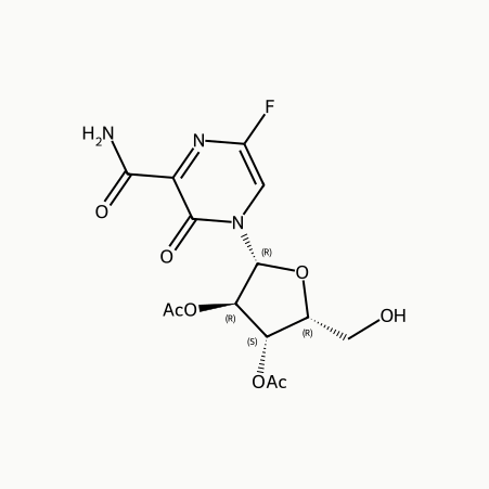 CC(=O)O[C@@H]1[C@@H](OC(C)=O)[C@@H](CO)O[C@H]1n1cc(F)nc(C(N)=O)c1=O